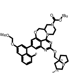 COCOc1cc(-c2cc3c4c(nc(OC[C@@]56CCCN5C[C@H](F)C6)nc4c2)N2CCN(C(=O)OC(C)(C)C)CC2CO3)c2c(F)cccc2c1